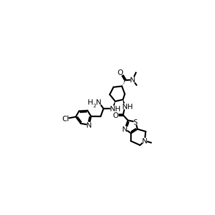 CN1CCc2nc(C(=O)N[C@@H]3C[C@@H](C(=O)N(C)C)CC[C@@H]3NC(N)Cc3ccc(Cl)cn3)sc2C1